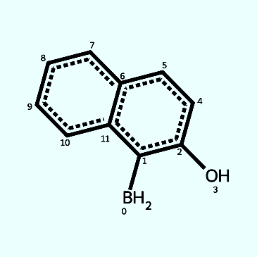 Bc1c(O)ccc2ccccc12